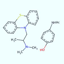 CC(=O)Nc1ccc(O)cc1.CC(CN1c2ccccc2Sc2ccccc21)N(C)C